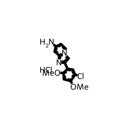 COc1cc(OC)c(-c2cn3ccc(N)cc3n2)cc1Cl.Cl